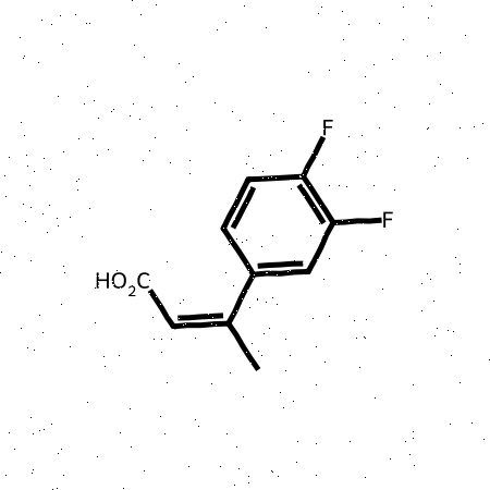 C/C(=C/C(=O)O)c1ccc(F)c(F)c1